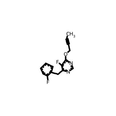 CC#CCOc1ncnc(Cc2ccccc2F)c1F